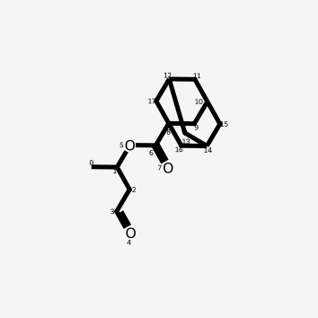 CC(CC=O)OC(=O)C12CC3CC(CC(C3)C1)C2